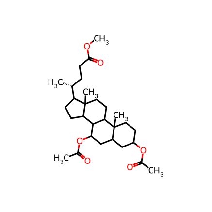 COC(=O)CC[C@@H](C)C1CCC2C3C(OC(C)=O)CC4CC(OC(C)=O)CCC4(C)C3CCC21C